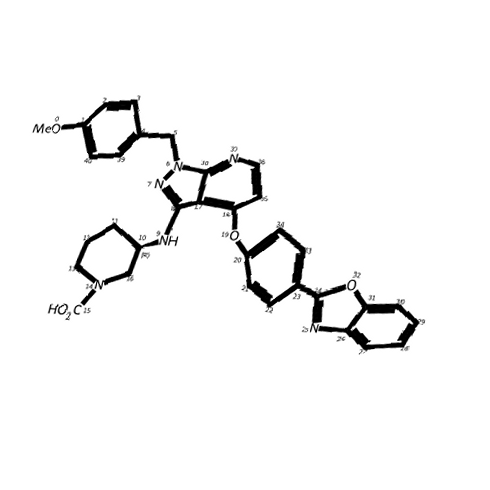 COc1ccc(Cn2nc(N[C@@H]3CCCN(C(=O)O)C3)c3c(Oc4ccc(-c5nc6ccccc6o5)cc4)ccnc32)cc1